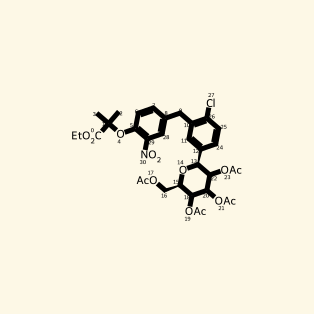 CCOC(=O)C(C)(C)Oc1ccc(Cc2cc([C@@H]3O[C@H](COC(C)=O)C(OC(C)=O)C(OC(C)=O)C3OC(C)=O)ccc2Cl)cc1[N+](=O)[O-]